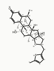 Cc1ccc(CN2C[C@@H]3C[C@H]4[C@@H]5C[C@H](F)C6=CC(=O)C=C[C@]6(C)[C@@]5(F)[C@@H](O)C[C@]4(C)[C@]3(C(=O)O)O2)s1